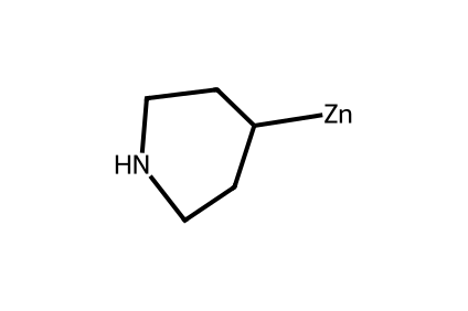 [Zn][CH]1CCNCC1